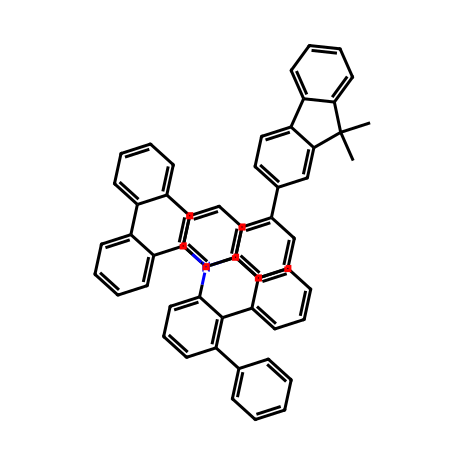 CC1(C)c2ccccc2-c2ccc(-c3cccc(N(c4cccc(-c5ccccc5)c4-c4ccccc4-c4ccccc4)c4cc5ccccc5c5ccccc45)c3)cc21